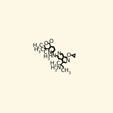 CC[C@](C)(N)c1cnc(OC2CC2)c2cnc(Nc3ccc4c(n3)C(C)(C)[C@H](C)OC4=O)cc12